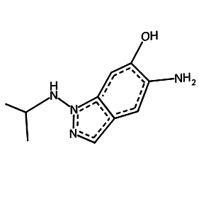 CC(C)Nn1ncc2cc(N)c(O)cc21